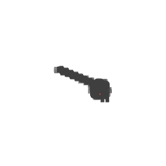 CCCCCCCCCCCCCCCC[Si](C)(O[Si](C)(C)O[SiH](C)O[Si](C)(C)C)O[Si](C)(C)O[Si](C)(C)C